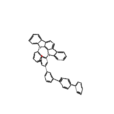 c1ccc(-c2ccc(-c3cccc(-c4cccc(-n5c6ccccc6c6ccc7c8ccccc8n(-c8ccccc8)c7c65)c4)c3)cc2)cc1